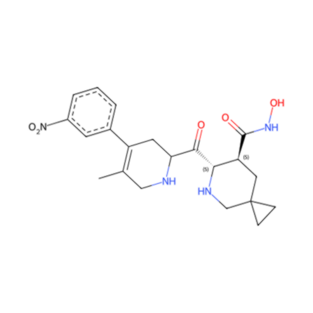 CC1=C(c2cccc([N+](=O)[O-])c2)CC(C(=O)[C@H]2NCC3(CC3)C[C@@H]2C(=O)NO)NC1